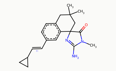 CN1C(=O)C2(CC(C)(C)Cc3ccc(/C=C/C4CC4)cc32)N=C1N